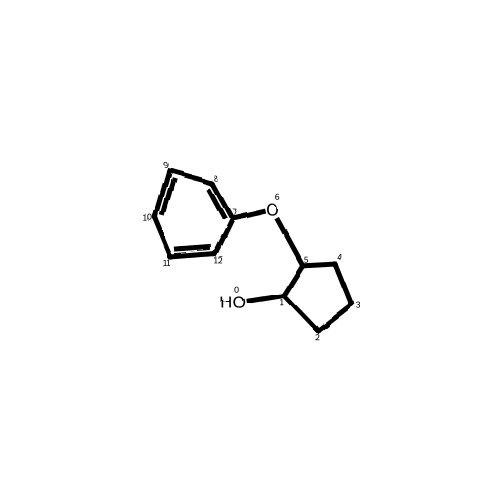 OC1CCCC1Oc1ccccc1